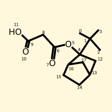 CC(C)(C)C1(OC(=O)CC(=O)O)CC2CCC1C2